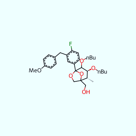 CCCCOC1[C@@H](OCCCC)[C@H](C)C2(CO)COC1(c1ccc(F)c(Cc3ccc(OC)cc3)c1)O2